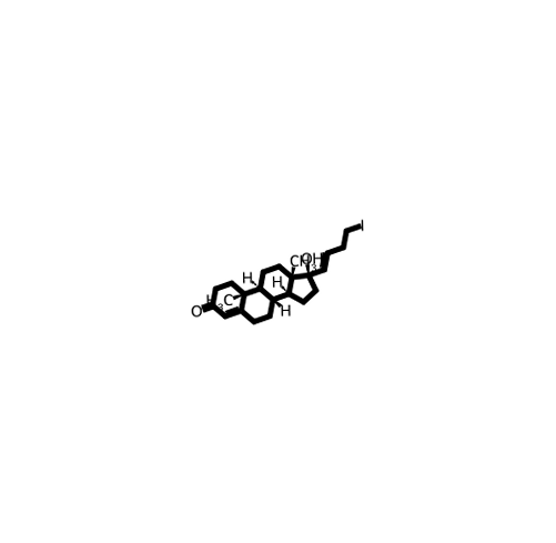 C[C@]12CCC(=O)C=C1CC[C@@H]1[C@@H]2CC[C@@]2(C)[C@H]1CC[C@@]2(O)/C=C/CCI